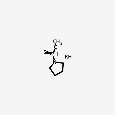 CO[PH](=S)N1CCCC1.[KH]